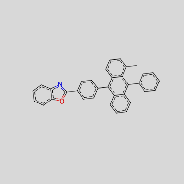 Cc1cccc2c(-c3ccc(-c4nc5ccccc5o4)cc3)c3ccccc3c(-c3ccccc3)c12